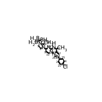 BC(B)(B)N1CCN(c2ccnc(NC(C)c3cn(-c4ccc(Cl)cc4)cn3)n2)C1=C